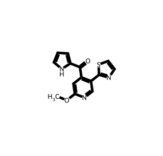 COc1cc(C(=O)c2ccc[nH]2)c(-c2nccs2)cn1